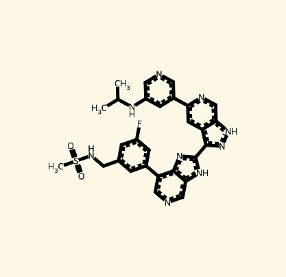 CC(C)Nc1cncc(-c2cc3c(-c4nc5c(-c6cc(F)cc(CNS(C)(=O)=O)c6)cncc5[nH]4)n[nH]c3cn2)c1